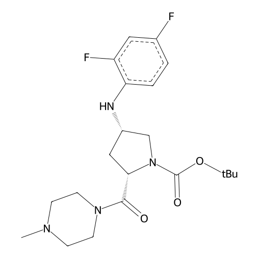 CN1CCN(C(=O)[C@@H]2C[C@H](Nc3ccc(F)cc3F)CN2C(=O)OC(C)(C)C)CC1